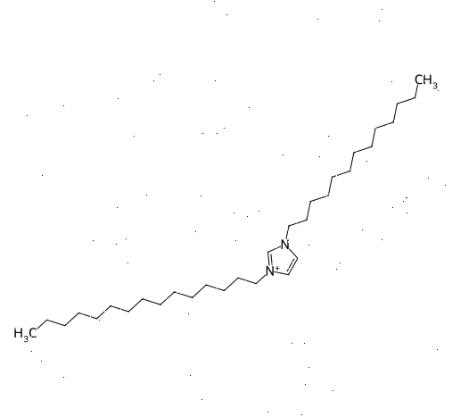 CCCCCCCCCCCCCCC[n+]1ccn(CCCCCCCCCCCCC)c1